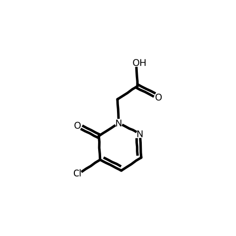 O=C(O)Cn1nccc(Cl)c1=O